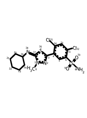 Cn1nc(-c2cc(S(N)(=O)=O)c(Cl)cc2Cl)s/c1=N/C1CCCCC1